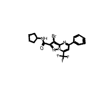 O=C(NC1CCCC1)c1nn2c(C(F)(F)F)cc(-c3ccccc3)nc2c1Br